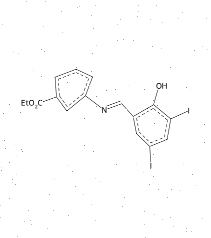 CCOC(=O)c1cccc(/N=C/c2cc(I)cc(I)c2O)c1